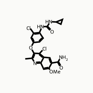 COc1cc2nc(C)c(Oc3ccc(NC(=O)NC4CC4)c(Cl)c3)c(Cl)c2cc1C(N)=O